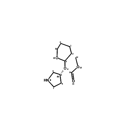 C1CCC(O[C@@H]2CCNC2)OC1.COC=O